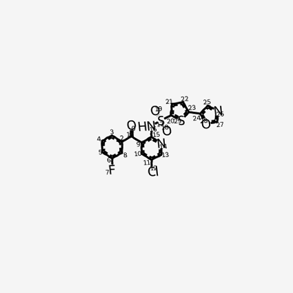 O=C(c1cccc(F)c1)c1cc(Cl)cnc1NS(=O)(=O)c1ccc(-c2cnco2)s1